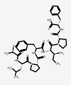 CC[C@H](C)[C@H](NC(=O)[C@H](Cc1ccccc1)NC(=O)[C@@H]1CCCN1C(=O)[C@H](CC(C)C)NC(=O)[C@H](C)N)C(=O)N1CCC[C@H]1C(=O)N[C@@H](Cc1ccccc1)C(=O)O